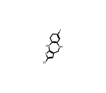 CCc1cc2c(s1)NC1=C(C=C(F)CC1)NC2